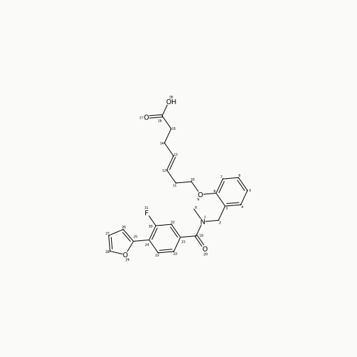 CN(Cc1ccccc1OCC/C=C/CCC(=O)O)C(=O)c1ccc(-c2ccco2)c(F)c1